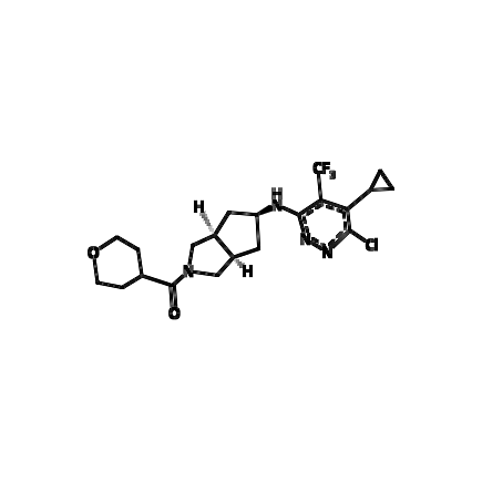 O=C(C1CCOCC1)N1C[C@H]2C[C@@H](Nc3nnc(Cl)c(C4CC4)c3C(F)(F)F)C[C@H]2C1